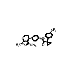 Cn1nc(N)c2c(-c3ccc(NC(=O)C4(c5ccc(C(F)(F)F)cc5)CC4)cc3)ccnc21